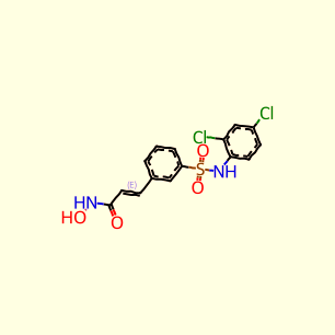 O=C(/C=C/c1cccc(S(=O)(=O)Nc2ccc(Cl)cc2Cl)c1)NO